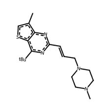 Cc1csc2c(C(C)(C)C)nc(/C=C/CN3CCN(C)CC3)nc12